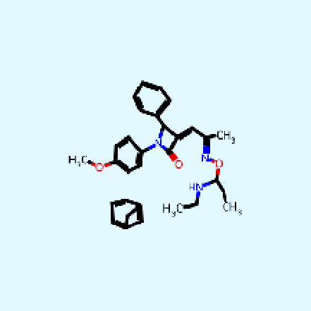 CCNC(CC)ON=C(C)C=C1C(=O)N(c2ccc(OC)cc2)C1c1ccccc1.c1cc2cc(c1)C2